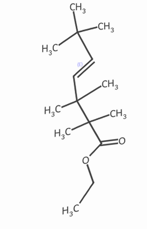 CCOC(=O)C(C)(C)C(C)(C)/C=C/C(C)(C)C